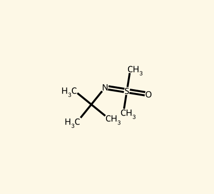 CC(C)(C)N=S(C)(C)=O